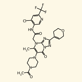 CC(=O)N1CCN(c2c(C)n(CC(=O)Nc3cnc(C(F)(F)F)cc3Cl)c3nc(C4=CCOCC4)nn3c2=O)CC1